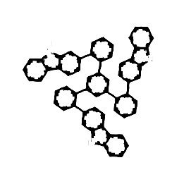 c1ccc(-c2ccc3c(c2)[nH]c2ccccc23)c(-c2cc(-c3ccccc3-c3ccc4c(c3)[nH]c3ccccc34)cc(-c3ccccc3-c3ccc4c(c3)[nH]c3ccccc34)c2)c1